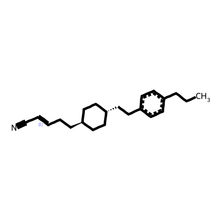 CCCc1ccc(CC[C@H]2CC[C@H](CC/C=C/C#N)CC2)cc1